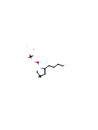 CC1(C)CC(CCCCO)N(C(=O)OC(C)(C)C)C1